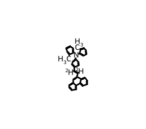 [2H]/C(=C(/[2H])c1cc2ccccc2c2ccccc12)c1ccc(N(c2ccccc2C)c2ccccc2C)cc1